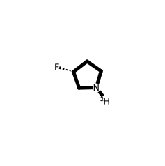 [2H]N1CC[C@@H](F)C1